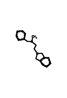 CN(CCN1Cc2ccccc2C1)Cc1ccccc1